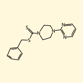 S=C(SCc1ccccc1)N1CCN(c2ncccn2)CC1